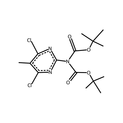 Cc1c(Cl)nc(N(C(=O)OC(C)(C)C)C(=O)OC(C)(C)C)nc1Cl